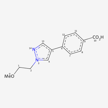 COCCn1cc(-c2ccc(C(=O)O)cc2)cn1